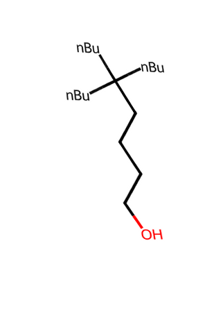 CCCCC(CCCC)(CCCC)CCCCO